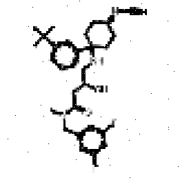 CN(Cc1cc(F)cc(F)c1)C(=O)CC(O)CNC1(c2cccc(C(C)(C)C)c2)CCC(=NC#N)CC1